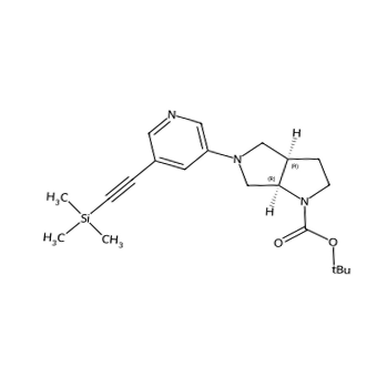 CC(C)(C)OC(=O)N1CC[C@@H]2CN(c3cncc(C#C[Si](C)(C)C)c3)C[C@@H]21